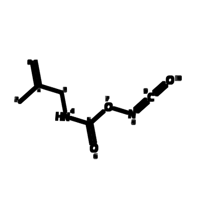 C=C(C)CNC(=O)ON=C=O